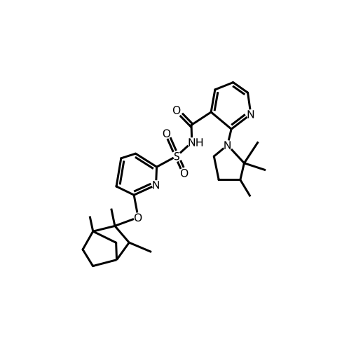 CC1CCN(c2ncccc2C(=O)NS(=O)(=O)c2cccc(OC3(C)C(C)C4CCC3(C)C4)n2)C1(C)C